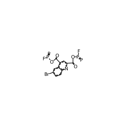 O=C(OP(F)#P)c1cc(C(=O)OP(F)#P)c2cc(Br)ccc2n1